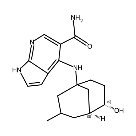 CC1C[C@H]2CC(Nc3c(C(N)=O)cnc4[nH]ccc34)(CC[C@@H]2O)C1